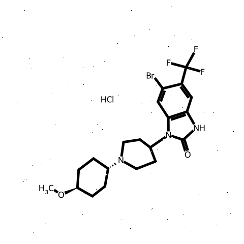 CO[C@H]1CC[C@H](N2CCC(n3c(=O)[nH]c4cc(C(F)(F)F)c(Br)cc43)CC2)CC1.Cl